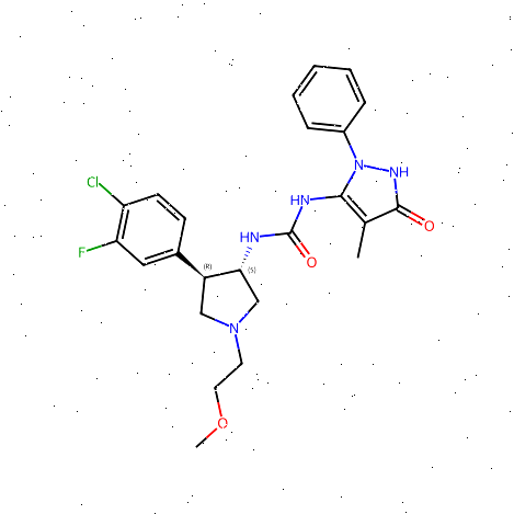 COCCN1C[C@@H](NC(=O)Nc2c(C)c(=O)[nH]n2-c2ccccc2)[C@H](c2ccc(Cl)c(F)c2)C1